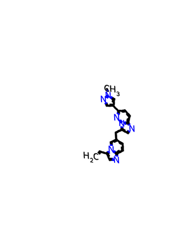 C=Cc1cnc2ccc(Cc3cnc4ccc(-c5cnn(C)c5)nn34)cn12